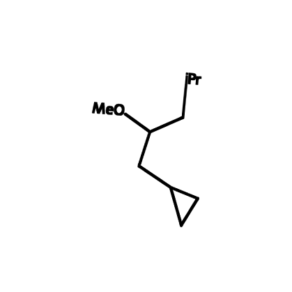 COC(CC(C)C)CC1CC1